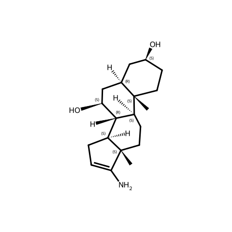 C[C@]12CC[C@H](O)C[C@@H]1C[C@H](O)[C@@H]1[C@@H]2CC[C@]2(C)C(N)=CC[C@@H]12